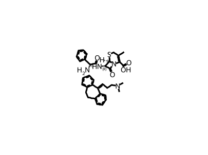 CC1=C(C(=O)O)N2C(=O)[C@@H](NC(=O)[C@H](N)c3ccccc3)[C@H]2SC1.CN(C)CCC=C1c2ccccc2CCc2ccccc21